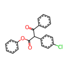 O=C(Oc1ccccc1)C(C(=O)c1ccccc1)c1ccc(Cl)cc1